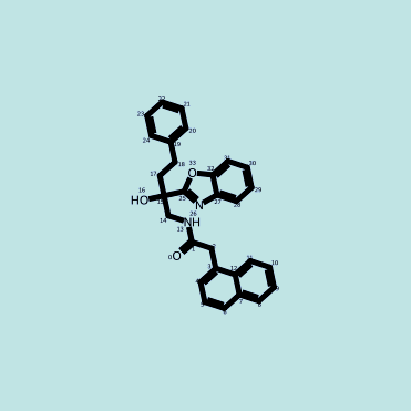 O=C(Cc1cccc2ccccc12)NCC(O)(CCc1ccccc1)c1nc2ccccc2o1